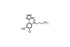 CCCCNc1cc(Cl)c(S)cc1-c1nnn[nH]1